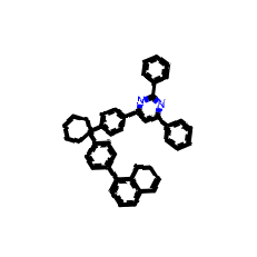 C1=Cc2cccc(-c3ccc(C4(c5ccc(-c6cc(-c7ccccc7)nc(-c7ccccc7)n6)cc5)CCCCC4)cc3)c2CC1